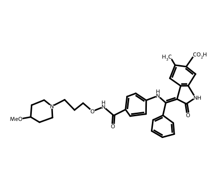 COC1CCN(CCCONC(=O)c2ccc(NC(=C3C(=O)Nc4cc(C(=O)O)c(C)cc43)c3ccccc3)cc2)CC1